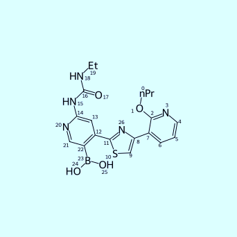 CCCOc1ncccc1-c1csc(-c2cc(NC(=O)NCC)ncc2B(O)O)n1